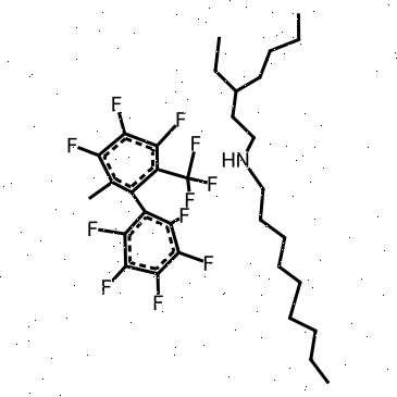 CCCCCCCCCNCCC(CC)CCCC.Cc1c(F)c(F)c(F)c(C(F)(F)F)c1-c1c(F)c(F)c(F)c(F)c1F